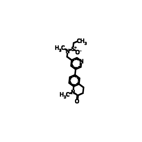 CC[S+]([O-])N(C)Cc1cncc(-c2ccc3c(c2)CCC(=O)N3C)c1